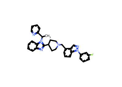 CC(c1ccccn1)n1c(C2CCN(Cc3cccc4c3cnn4-c3cccc(F)c3)CC2)nc2ccccc21